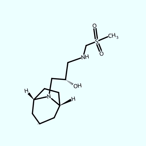 CS(=O)(=O)CNC[C@H](O)CN1[C@@H]2C[CH]C[C@H]1CC2